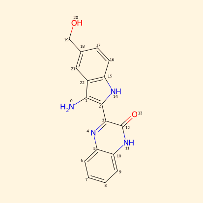 Nc1c(-c2nc3ccccc3[nH]c2=O)[nH]c2ccc(CO)cc12